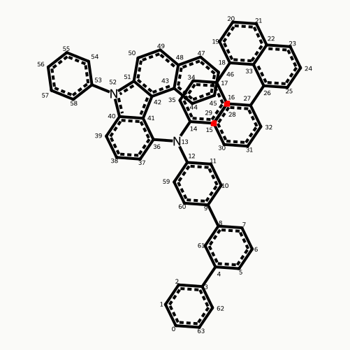 c1ccc(-c2cccc(-c3ccc(N(c4ccc(-c5cccc6cccc(-c7ccccc7)c56)cc4)c4cccc5c4c4c6ccccc6ccc4n5-c4ccccc4)cc3)c2)cc1